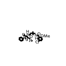 COc1ccc(Cl)cc1C(=O)NCC(C)(C)CC(=O)Nc1c(CN(C)C)n(C)n(-c2ccccc2)c1=O